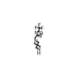 FC(F)(F)c1nc(CN2CC3(CNC3)C2)no1